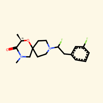 C[C@H]1OC2(CCN(C(F)Cc3cccc(F)c3)CC2)CN(C)C1=O